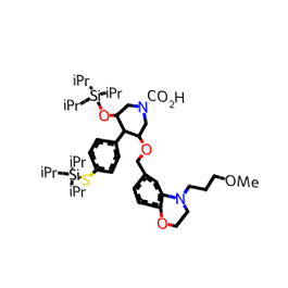 COCCCN1CCOc2ccc(COC3CN(C(=O)O)CC(O[Si](C(C)C)(C(C)C)C(C)C)C3c3ccc(S[Si](C(C)C)(C(C)C)C(C)C)cc3)cc21